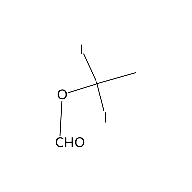 CC(I)(I)OC=O